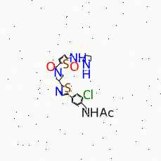 CC(=O)NCc1ccc(-c2cnc(C3CN(C(=O)c4ccc(NC(=O)[C@@H]5CCCN5)s4)C3)s2)cc1Cl